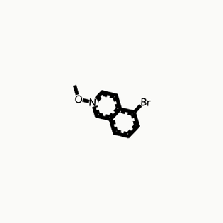 CO[n+]1ccc2c(Br)cccc2c1